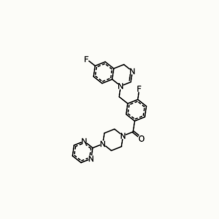 O=C(c1ccc(F)c(CN2C=NCc3cc(F)ccc32)c1)N1CCN(c2ncccn2)CC1